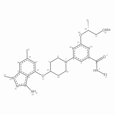 CCNC(=O)c1cc(N2CCC(Oc3cc(C)cc4c3c(N)nn4C)CC2)nc(O[C@H](C)COC)n1